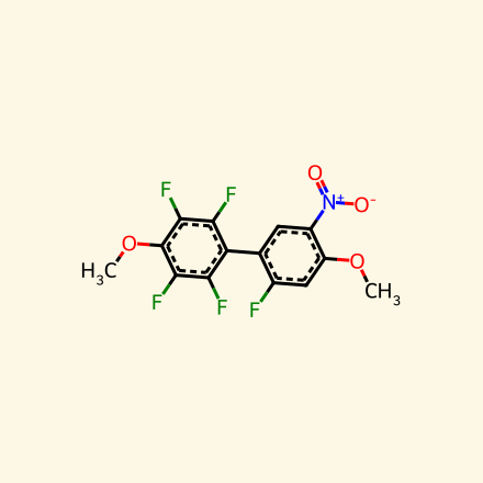 COc1cc(F)c(-c2c(F)c(F)c(OC)c(F)c2F)cc1[N+](=O)[O-]